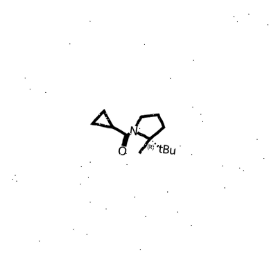 CC(C)(C)[C@@]1(C)CCCN1C(=O)C1CC1